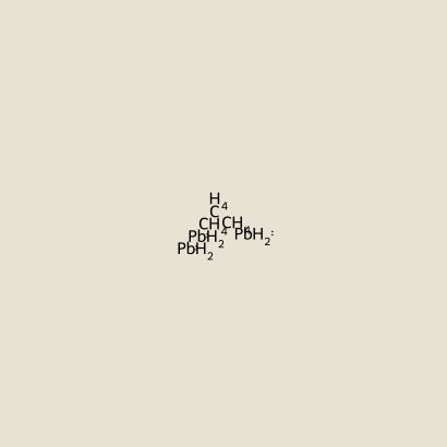 C.C.C.[PbH2].[PbH2].[PbH2]